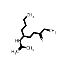 C=C(C)NC(CCCC)CCC(=S)CC